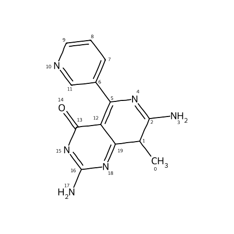 CC1C(N)=NC(c2cccnc2)=C2C(=O)N=C(N)N=C21